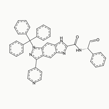 O=C[C@@H](NC(=O)c1nc2cc3c(-c4ccncc4)nn(C(c4ccccc4)(c4ccccc4)c4ccccc4)c3cc2[nH]1)c1ccccc1